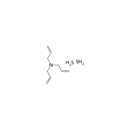 C=CCN(CC=C)CC=C.S.S